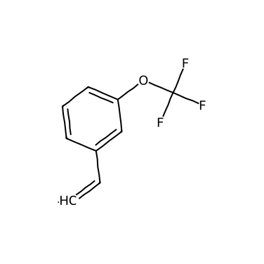 [CH]=Cc1cccc(OC(F)(F)F)c1